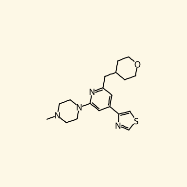 CN1CCN(c2cc(-c3cscn3)cc(CC3CCOCC3)n2)CC1